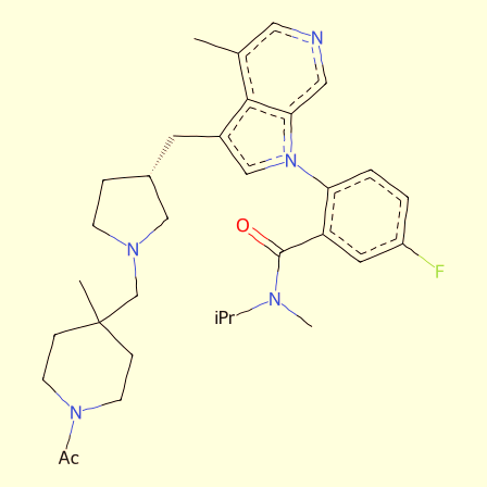 CC(=O)N1CCC(C)(CN2CC[C@H](Cc3cn(-c4ccc(F)cc4C(=O)N(C)C(C)C)c4cncc(C)c34)C2)CC1